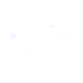 C/C(C(=O)O)=C1/CCC(F)(F)C(c2ccncc2)C1